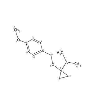 COc1ccc(COC2(C(C)C)CC2)cc1